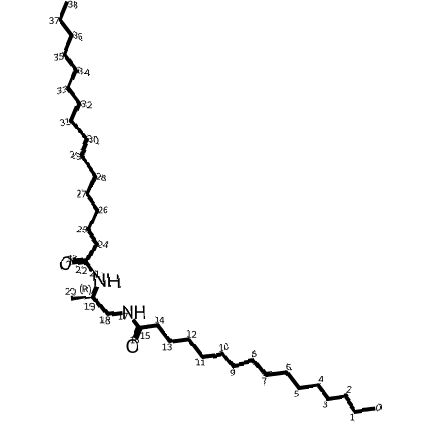 CCCCCCCCCCCCCCCC(=O)NC[C@@H](C)NC(=O)CCCCCCCCCCCCCCC